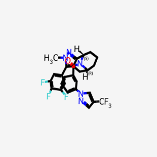 Cn1nc2c(c1-c1cc(F)c(F)c(F)c1)C[C@H]1CCC[C@@H]2N1C(=O)c1cccc(-n2cc(C(F)(F)F)cn2)c1